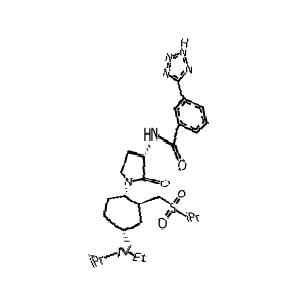 CCN(C(C)C)[C@@H]1CC[C@H](N2CC[C@H](NC(=O)c3cccc(-c4nn[nH]n4)c3)C2=O)[C@@H](CS(=O)(=O)C(C)C)C1